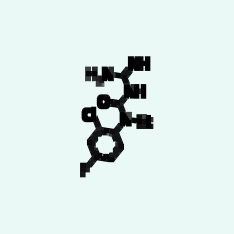 CCN(C(=O)NC(=N)N)c1ccc(F)cc1Cl